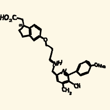 COc1ccc(-c2nc(CNCCCOc3ccc4c(c3)CC[C@H]4CC(=O)O)cc(C)c2C#N)cc1